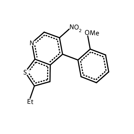 CCc1cc2c(-c3ccccc3OC)c([N+](=O)[O-])cnc2s1